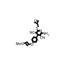 COC1CC(Oc2ccc(-c3c(C#N)c(N)nc(SCC4COC4)c3C#N)cc2)C1